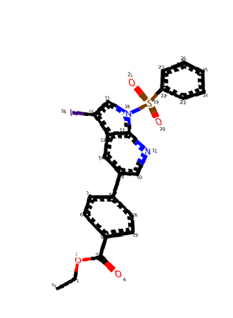 CCOC(=O)c1ccc(-c2cnc3c(c2)c(I)cn3S(=O)(=O)c2ccccc2)cc1